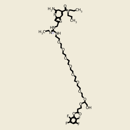 CCCN(CCC)C(=O)C1=Cc2sc(CN/C(=N\CC)NCCOCCOCCOCCOCCOCCOCCOCCOC(CO)OCCC(=O)Oc3c(F)c(F)cc(F)c3F)cc2N=C(N)C1